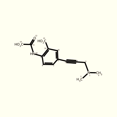 CN(C)CC#Cc1ccc(NC(=O)C(=O)O)c(C(=O)O)c1